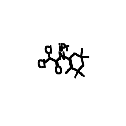 CC1=C(N(C(=O)C(Cl)Cl)C(C)C)CC(C)(C)CC1(C)C